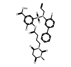 C=CCN(c1cc(-c2ccccc2)ccc1F)S(=O)(=O)c1cc(C(=O)OC)cc(Cl)c1OC(=O)CCCN1C(=O)CC(=O)N(C)C1=O